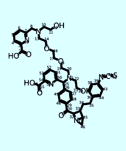 O=C(O)c1cccc(CN(CCO)CCOCCOCCN(CCO)C(c2ccc(C(=O)C3C(CCc4ccc(N=C=S)cc4)C4CN43)cc2)c2cccc(C(=O)O)n2)n1